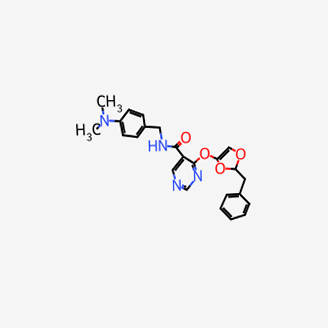 CN(C)c1ccc(CNC(=O)c2cncnc2OC2=COC(Cc3ccccc3)O2)cc1